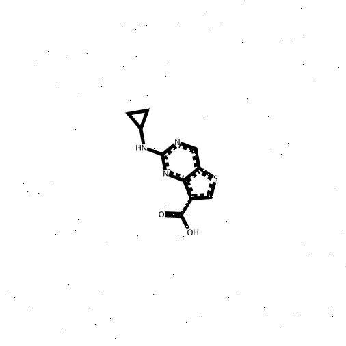 O=C(O)c1csc2cnc(NC3CC3)nc12